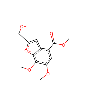 COC(=O)c1cc(OC)c(OC)c2oc(CO)cc12